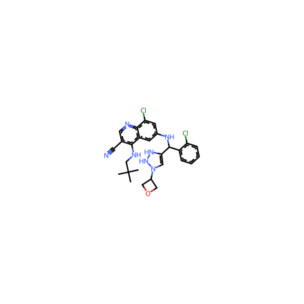 CC(C)(C)CNc1c(C#N)cnc2c(Cl)cc(NC(C3=CN(C4COC4)NN3)c3ccccc3Cl)cc12